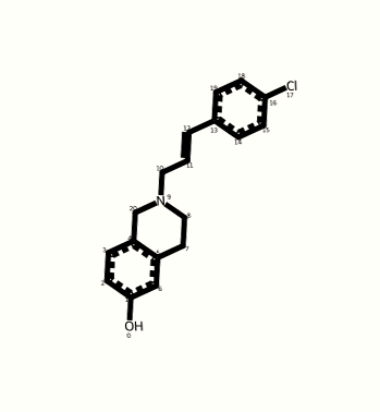 Oc1ccc2c(c1)CCN(CC=Cc1ccc(Cl)cc1)C2